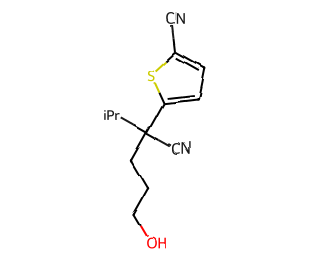 CC(C)C(C#N)(CCCO)c1ccc(C#N)s1